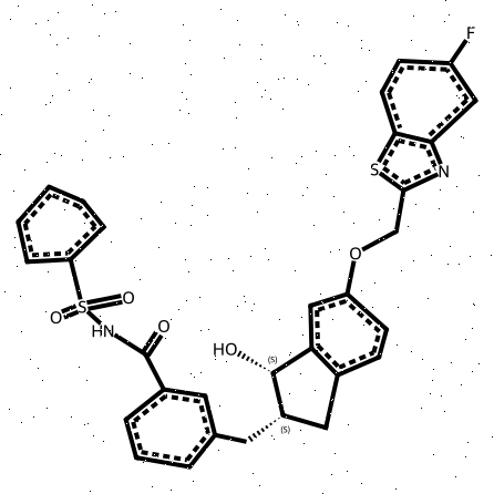 O=C(NS(=O)(=O)c1ccccc1)c1cccc(C[C@H]2Cc3ccc(OCc4nc5cc(F)ccc5s4)cc3[C@H]2O)c1